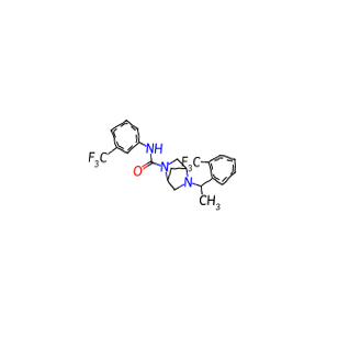 CC(c1ccccc1C(F)(F)F)N1CC2CC1CN2C(=O)Nc1cccc(C(F)(F)F)c1